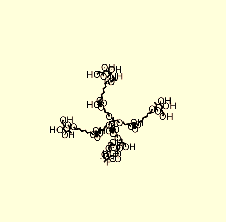 CC(=O)NC1[C@H](OCCCCCCOP(=O)(O)OCCCOCC(COCCCOP(=O)(O)OCCCCCCO[C@@H]2OC(CO)[C@H](O)[C@H](O)C2C)(COCCCOP(=O)(O)OCCCCCCO[C@@H]2OC(CO)[C@H](O)[C@H](O)C2C)COP(=O)(O)OCOCC(CO)COCOP(=O)(O)O[C@@H]2[C@@H](COP(C)(=O)O)O[C@@H](C)C2(C)F)OC(CO)[C@H](O)[C@@H]1O